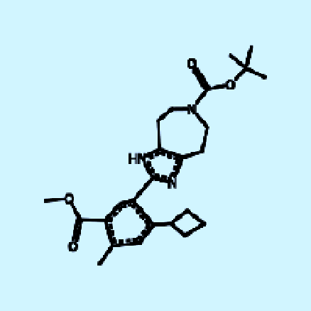 COC(=O)c1cc(-c2nc3c([nH]2)CCN(C(=O)OC(C)(C)C)CC3)c(C2CCC2)cc1C